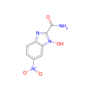 NC(=O)c1nc2ccc([N+](=O)[O-])cc2n1O